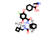 COc1cc(F)c(O[C@H]2CC[C@](CC#N)(C(=O)O)CC2)cc1C(=O)N[C@@H]1[C@H]2CC[C@H](C2)[C@@H]1C(=O)NCC1(C)CCC1